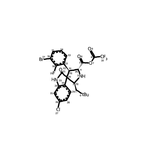 CC(C)(C)C[C@@H]1N[C@@H](C(=O)OC(=O)C(F)(F)F)[C@H](c2cccc(Br)c2F)C12C(=O)Nc1cc(Cl)ccc12